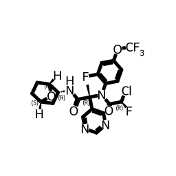 C[C@](C(=O)N[C@@H]1C[C@@H]2CC[C@H]1O2)(c1cncnc1)N(C(=O)[C@H](F)Cl)c1ccc(OC(F)(F)F)cc1F